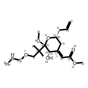 [3H]BSOCC(C)(C)[C@]1(OC)O[C@H](CC=C)C/C(=C\C(=O)OC)[C@@H]1O